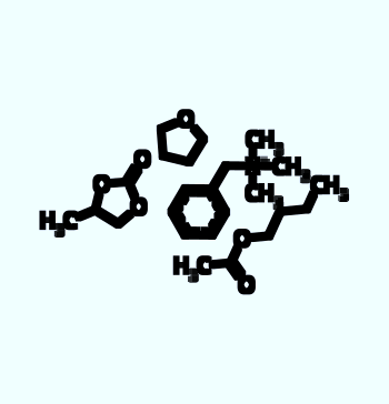 C1CCOC1.CC1COC(=O)O1.CCCCOC(C)=O.C[N+](C)(C)Cc1ccccc1